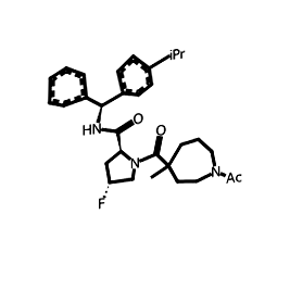 CC(=O)N1CCCC(C)(C(=O)N2C[C@H](F)C[C@H]2C(=O)N[C@@H](c2ccccc2)c2ccc(C(C)C)cc2)CC1